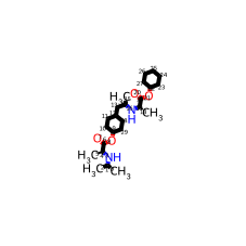 CC(C)N[C@@H](C)C(=O)OC1CCC(CC(C)N[C@H](C)C(=O)OC2CCCCC2)CC1